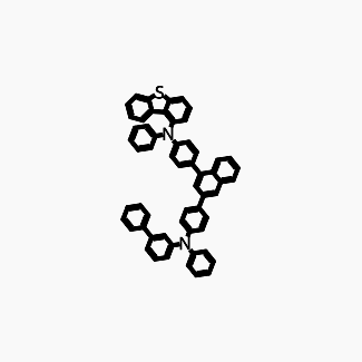 c1ccc(-c2cccc(N(c3ccccc3)c3ccc(-c4cc(-c5ccc(N(c6ccccc6)c6cccc7sc8ccccc8c67)cc5)c5ccccc5c4)cc3)c2)cc1